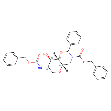 O=C(N[C@H]1CO[C@H]2CN(C(=O)OCc3ccccc3)C(c3ccccc3)O[C@H]2[C@@H]1O)OCc1ccccc1